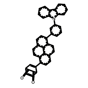 O=C1C(=O)C2C=CC1C=C2c1ccc2ccc3c(-c4cccc(-n5c6ccccc6c6ccccc65)c4)ccc4ccc1c2c43